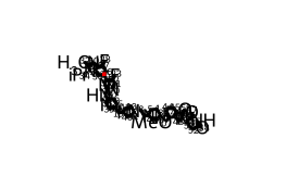 COc1c(N2CCN(CCN3CCN(Cc4ccc(Nc5ncc(F)c(-c6cc(F)c7nc(C)n(C(C)C)c7c6)n5)nc4)CC3)CC2)ccc2c1CN(C1CCC(=O)NC1=O)C2=O